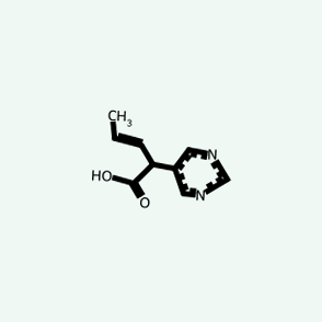 CC=CC(C(=O)O)c1cncnc1